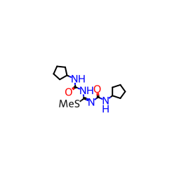 CSC(=NC(=O)NC1CCCC1)NC(=O)NC1CCCC1